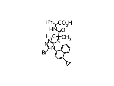 CC(C)C(NC(=O)C(C)(C)Sc1nnc(Br)n1-c1ccc(C2CC2)c2ccccc12)C(=O)O